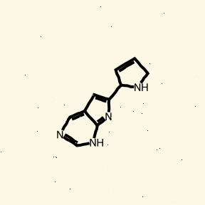 C1=CC(c2cc3cnc[nH]c-3n2)NC1